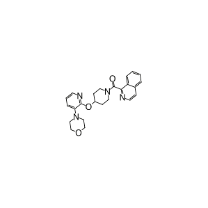 O=C(c1nccc2ccccc12)N1CCC(Oc2ncccc2N2CCOCC2)CC1